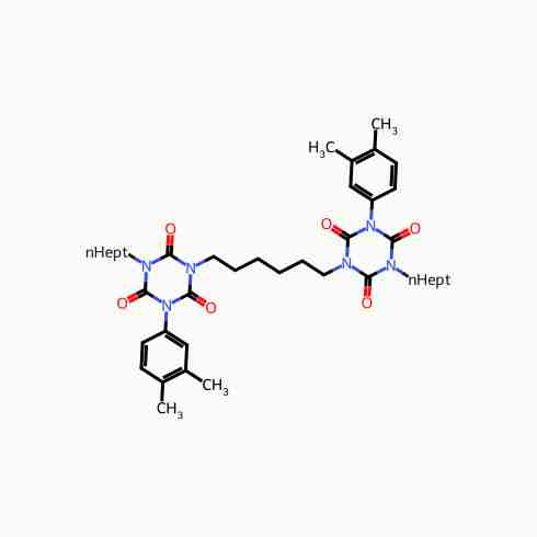 CCCCCCCn1c(=O)n(CCCCCCn2c(=O)n(CCCCCCC)c(=O)n(-c3ccc(C)c(C)c3)c2=O)c(=O)n(-c2ccc(C)c(C)c2)c1=O